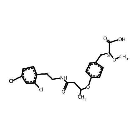 CO[C@@H](Cc1ccc(OC(C)CC(=O)NCCc2ccc(Cl)cc2Cl)cc1)C(=O)O